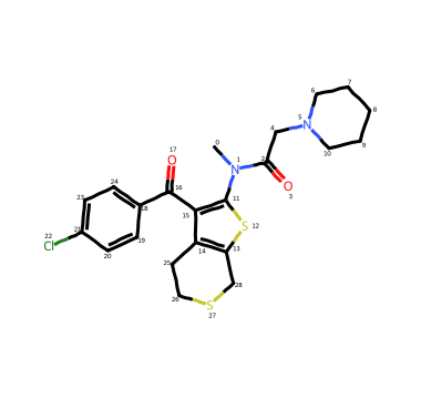 CN(C(=O)CN1CCCCC1)c1sc2c(c1C(=O)c1ccc(Cl)cc1)CCSC2